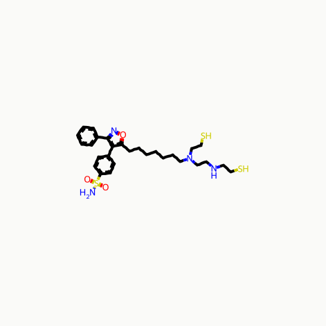 NS(=O)(=O)c1ccc(-c2c(-c3ccccc3)noc2CCCCCCCN(CCS)CCNCCS)cc1